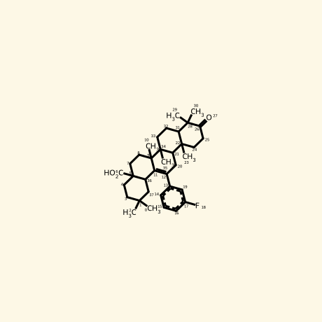 CC1(C)CCC2(C(=O)O)CCC3(C)C(=C(c4cccc(F)c4)CC4C5(C)CCC(=O)C(C)(C)C5CCC43C)C2C1